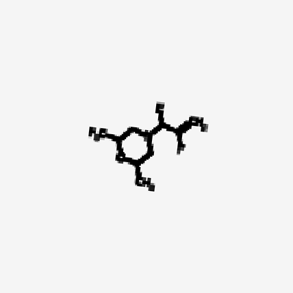 C=C(F)C(F)N1CC(C)OC(C(F)(F)F)C1